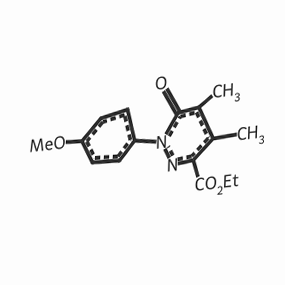 CCOC(=O)c1nn(-c2ccc(OC)cc2)c(=O)c(C)c1C